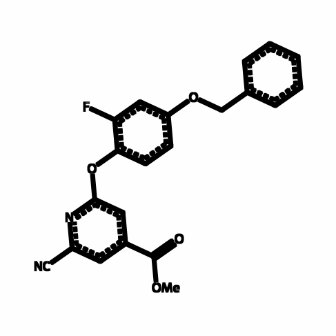 COC(=O)c1cc(C#N)nc(Oc2ccc(OCc3ccccc3)cc2F)c1